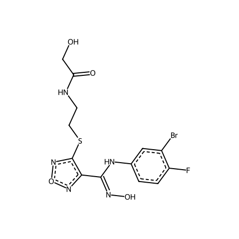 O=C(CO)NCCSc1nonc1/C(=N/O)Nc1ccc(F)c(Br)c1